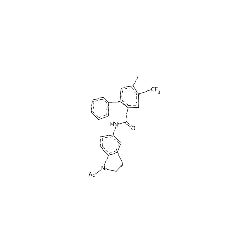 CC(=O)N1CCc2cc(NC(=O)c3cc(C(F)(F)F)c(C)cc3-c3ccccc3)ccc21